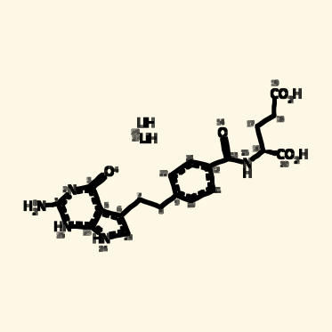 Nc1nc(=O)c2c(CCc3ccc(C(=O)N[C@@H](CCC(=O)O)C(=O)O)cc3)c[nH]c2[nH]1.[LiH].[LiH]